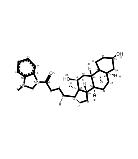 C[C@H](CCC(=O)N1CN(C)c2ccccc21)[C@H]1CC[C@H]2[C@@H]3CC[C@@H]4C[C@H](O)CC[C@]4(C)[C@H]3C[C@H](O)[C@]12C